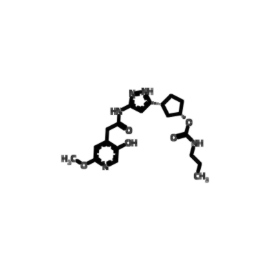 CCCNC(=O)O[C@H]1CC[C@@H](c2cc(NC(=O)Cc3cc(OC)ncc3O)n[nH]2)C1